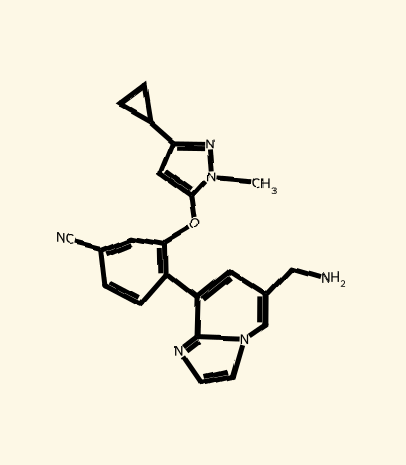 Cn1nc(C2CC2)cc1Oc1cc(C#N)ccc1-c1cc(CN)cn2ccnc12